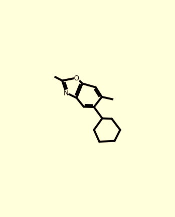 Cc1nc2cc(C3CCCCC3)c(C)cc2o1